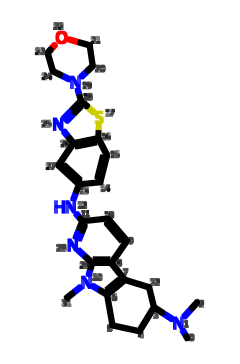 CN(C)C1CCc2c(c3ccc(Nc4ccc5sc(N6CCOCC6)nc5c4)nc3n2C)C1